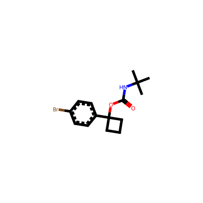 CC(C)(C)NC(=O)OC1(c2ccc(Br)cc2)CCC1